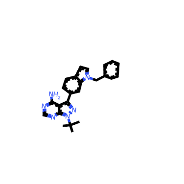 CC(C)(C)n1nc(-c2ccc3ccn(Cc4ccccc4)c3c2)c2c(N)ncnc21